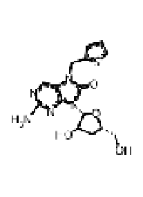 Nc1ncc2c(n1)n([C@@H]1O[C@H](CO)C[C@H]1O)c(=O)n2Cc1cccs1